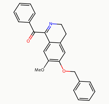 COc1cc2c(cc1OCc1ccccc1)CCN=C2C(=O)c1ccccc1